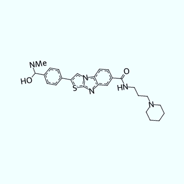 CNC(O)c1ccc(-c2cn3c(nc4cc(C(=O)NCCCN5CCCCC5)ccc43)s2)cc1